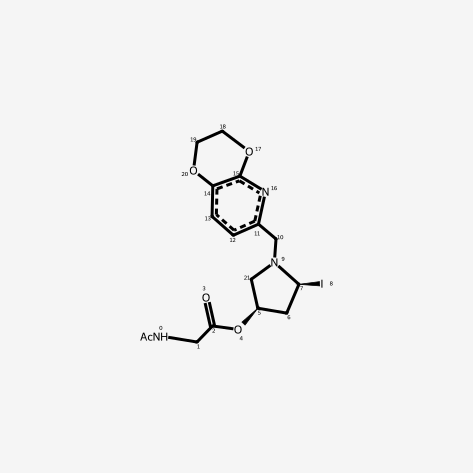 CC(=O)NCC(=O)O[C@@H]1C[C@H](I)N(Cc2ccc3c(n2)OCCO3)C1